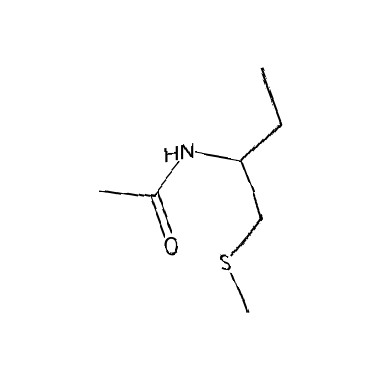 CCC(CSC)NC(C)=O